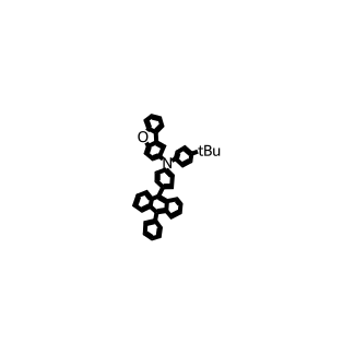 CC(C)(C)c1ccc(N(c2ccc(-c3c4ccccc4c(-c4ccccc4)c4ccccc34)cc2)c2ccc3oc4ccccc4c3c2)cc1